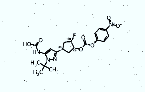 CC(C)(C)n1nc([C@H]2C[C@@H](F)[C@@H](OC(=O)Oc3ccc([N+](=O)[O-])cc3)C2)cc1NC(=O)O